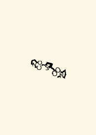 c1cc(C2OCN3CCCC3O2)sc1C1OCN2CCCC2O1